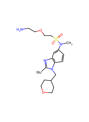 CN(c1ccc2c(c1)nc(C(C)(C)C)n2CC1CCOCC1)S(=O)(=O)CCOCCN